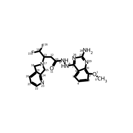 COc1cccc2c(NNC(=O)CC(C(F)F)N3Cc4cccnc4C3)nc(N)nc12